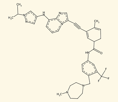 CC1=CCC(C(=O)Nc2ccc(CN3CCCN(C)CC3)c(C(F)(F)F)c2)C=C1C#Cc1cnc2c(Nc3cnn(C(C)C)c3)cccn12